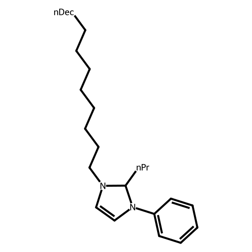 CCCCCCCCCCCCCCCCCCN1C=CN(c2ccccc2)C1CCC